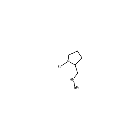 CCCNCC1CCCN1CC